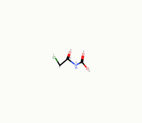 [O]C(=O)NC(=O)CCl